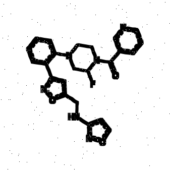 O=C(c1cccnc1)N1CCN(c2ccccc2-c2cc(CNc3ccon3)on2)CC1F